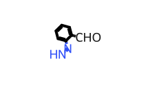 N=Nc1ccccc1C=O